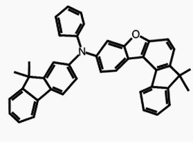 CC1(C)c2ccccc2-c2ccc(N(c3ccccc3)c3ccc4c(c3)oc3ccc5c(c34)-c3ccccc3C5(C)C)cc21